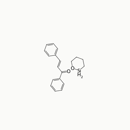 C1CC[SiH2]OC1.O=C(/C=C/c1ccccc1)c1ccccc1